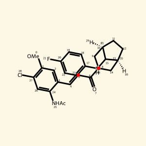 COc1cc(C=CC(=O)N2C[C@H]3CC[C@@H](C2)C3Nc2ccc(F)cc2)c(NC(C)=O)cc1Cl